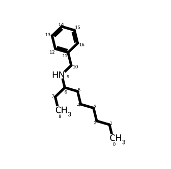 CCCCCCC(CC)NCc1ccccc1